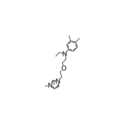 CCN(CCOCCn1cc[n+](C)c1)c1ccc(C)c(C)c1